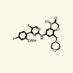 CCN1C(=O)COc2c(CN3CCOCC3)cc(Nc3ncc(F)c(-c4ccc(F)cc4OC)n3)cc21